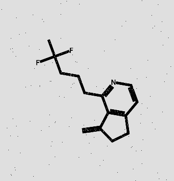 C=C1CCc2ccnc(CCCC(C)(F)F)c21